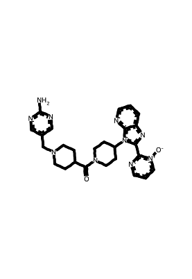 Nc1ncc(CN2CCC(C(=O)N3CCC(n4c(-c5nccc[n+]5[O-])nc5cccnc54)CC3)CC2)cn1